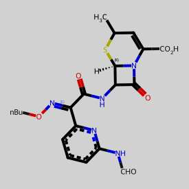 CCCCO/N=C(/C(=O)NC1C(=O)N2C(C(=O)O)=CC(C)S[C@H]12)c1cccc(NC=O)n1